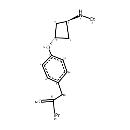 CCN[C@H]1C[C@H](Oc2ccc(CC(=O)C(C)C)cc2)C1